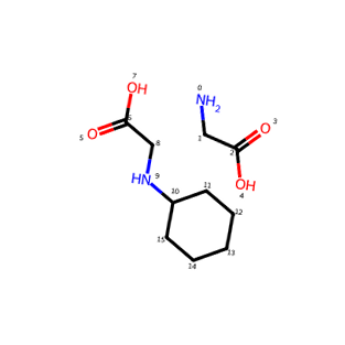 NCC(=O)O.O=C(O)CNC1CCCCC1